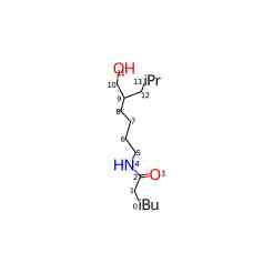 CCC(C)CC(=O)NCCCCC(CO)CC(C)C